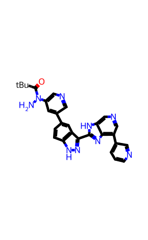 CC(C)(C)C(=O)N(N)c1cncc(-c2ccc3[nH]nc(-c4nc5c(-c6cccnc6)cncc5[nH]4)c3c2)c1